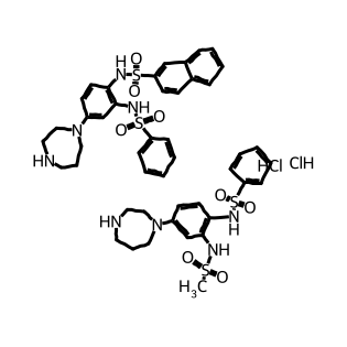 CS(=O)(=O)Nc1cc(N2CCCNCC2)ccc1NS(=O)(=O)c1ccccc1.Cl.Cl.O=S(=O)(Nc1ccc(N2CCCNCC2)cc1NS(=O)(=O)c1ccccc1)c1ccc2ccccc2c1